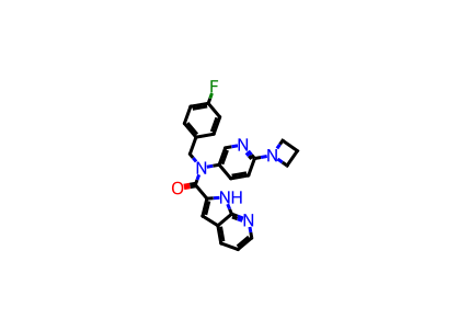 O=C(c1cc2cccnc2[nH]1)N(Cc1ccc(F)cc1)c1ccc(N2CCC2)nc1